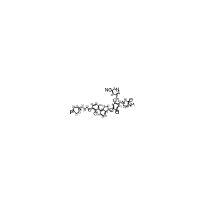 N#Cc1cncc(COc2cc(O[C@H]3CCc4c(-c5cccc(OCCCN6CCC(F)CC6)c5Cl)cccc43)c(Cl)cc2CN2CCNC(=O)C2)c1